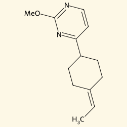 CC=C1CCC(c2ccnc(OC)n2)CC1